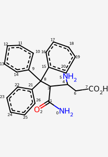 NC(=O)C(C(N)CC(=O)O)C(c1ccccc1)(c1ccccc1)c1ccccc1